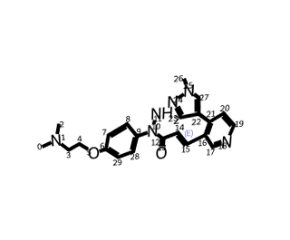 CN(C)CCOc1ccc(N(N)C(=O)/C=C/c2cnccc2-c2cnn(C)c2)cc1